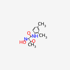 CC(=O)/C(=N\O)C(=O)Nc1ccc(C)cc1C